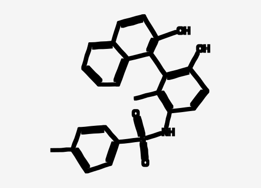 Cc1ccc(S(=O)(=O)Nc2ccc(O)c(-c3c(O)ccc4ccccc34)c2C)cc1